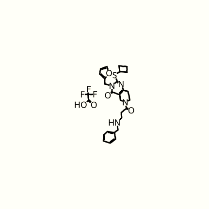 O=C(CCNCc1ccccc1)N1CCc2nc(SC3CCC3)n(Cc3ccco3)c(=O)c2C1.O=C(O)C(F)(F)F